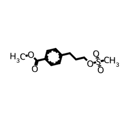 COC(=O)c1ccc(CCCOS(C)(=O)=O)cc1